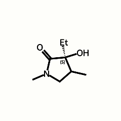 CC[C@@]1(O)C(=O)N(C)CC1C